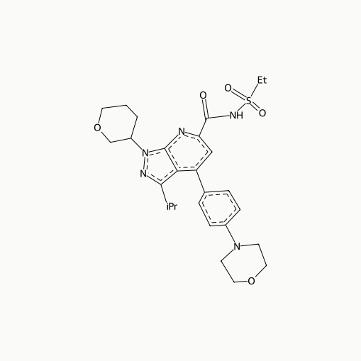 CCS(=O)(=O)NC(=O)c1cc(-c2ccc(N3CCOCC3)cc2)c2c(C(C)C)nn(C3CCCOC3)c2n1